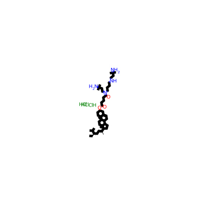 CC[C@H](CC[C@@H](C)C1CCC2C3CC=C4CC(OC(=O)CCCC(=O)N(CCCCNCCC(C)(C)N)CCC(C)(C)N)CCC4(C)C3CCC21C)C(C)C.Cl.Cl.Cl